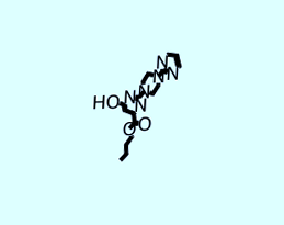 CCCCOC(=O)c1cc(O)nc(N2CCN(c3ncccn3)CC2)n1